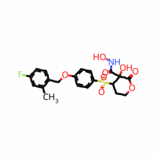 Cc1cc(F)ccc1COc1ccc(S(=O)(=O)C2CCOC(=O)C2(O)C(=O)NO)cc1